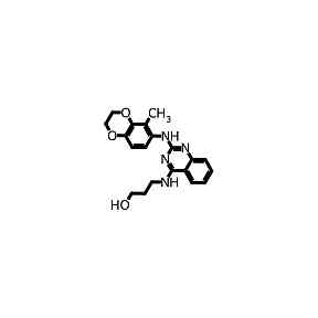 Cc1c(Nc2nc(NCCCO)c3ccccc3n2)ccc2c1OCCO2